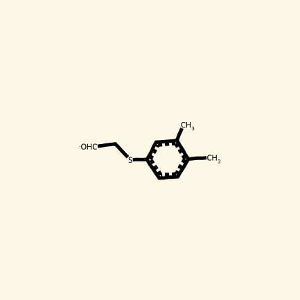 Cc1ccc(SC[C]=O)cc1C